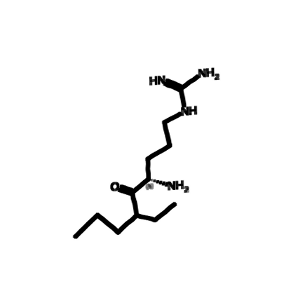 CCCC(CC)C(=O)[C@@H](N)CCCNC(=N)N